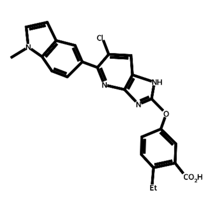 CCc1ccc(Oc2nc3nc(-c4ccc5c(ccn5C)c4)c(Cl)cc3[nH]2)cc1C(=O)O